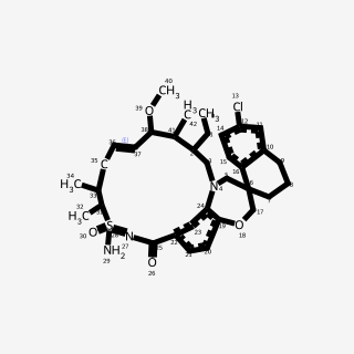 CCC1CN2CC3(CCCc4cc(Cl)ccc43)COc3ccc(cc32)C(=O)N=S(N)(=O)C(C)C(C)C/C=C/C(OC)C1C